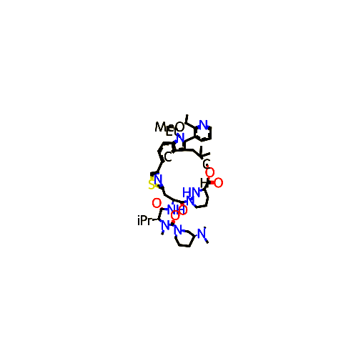 CCn1c(-c2cccnc2[C@H](C)OC)c2c3cc(ccc31)-c1csc(n1)C[C@H](NC(=O)[C@H](C(C)C)N(C)C(=O)N1CCC[C@@H](N(C)C)C1)C(=O)N1CCC[C@H](N1)C(=O)OCC(C)(C)C2